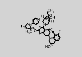 C#Cc1c(F)ccc2c1N([C@@H]1CCc3c(nc(OC[C@]4(C)C[C@@H](F)CN4c4ccncc4)nc3N3C[C@H]4CC(O)[C@@H](C3)N4C(=O)C=C)C1)C[C@@H](O)C2